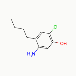 CCCCc1cc(Cl)c(O)cc1N